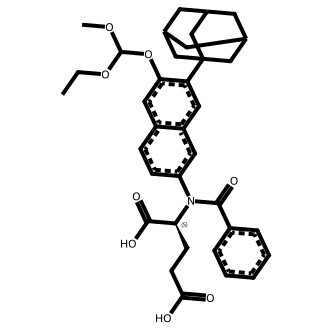 CCOC(OC)Oc1cc2ccc(N(C(=O)c3ccccc3)[C@@H](CCC(=O)O)C(=O)O)cc2cc1C12CC3CC(CC(C3)C1)C2